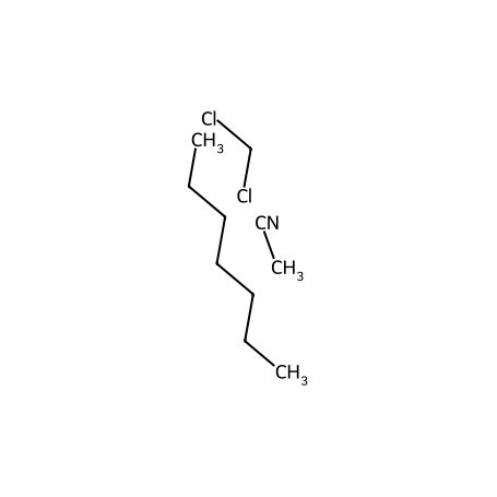 CC#N.CCCCCCC.ClCCl